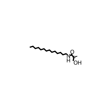 CCCCCCCCCCCCCCNC(=O)[C@@H](C)CO